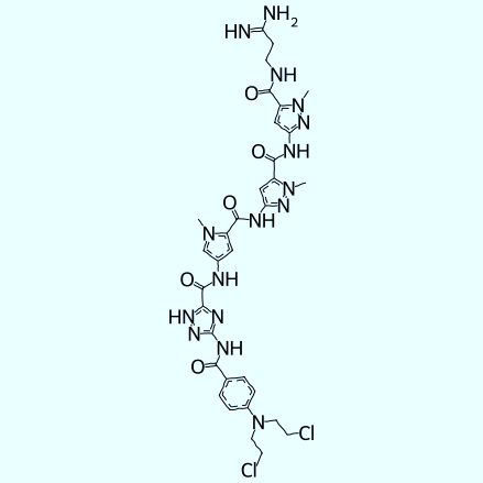 Cn1cc(NC(=O)c2nc(NC(=O)c3ccc(N(CCCl)CCCl)cc3)n[nH]2)cc1C(=O)Nc1cc(C(=O)Nc2cc(C(=O)NCCC(=N)N)n(C)n2)n(C)n1